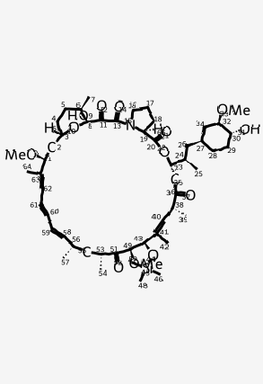 CO[C@H]1C[C@@H]2CC[C@@H](C)[C@@](O)(O2)C(=O)C(=O)N2CCC[C@H]2C(=O)O[C@H]([C@H](C)C[C@@H]2CC[C@@H](O)[C@H](OC)C2)CC(=O)[C@H](C)/C=C(\C)[C@@H](O[Si](C)(C)C)[C@@H](OC)C(=O)[C@H](C)C[C@H](C)/C=C/C=C/C=C/1C